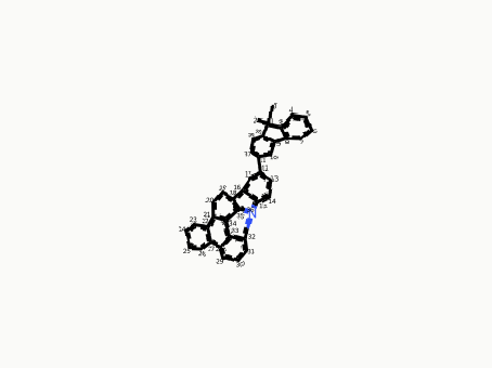 CC1(C)c2ccccc2-c2cc(-c3ccc4c(c3)c3ccc5c6ccccc6c6cccc7c6c5c3n47)ccc21